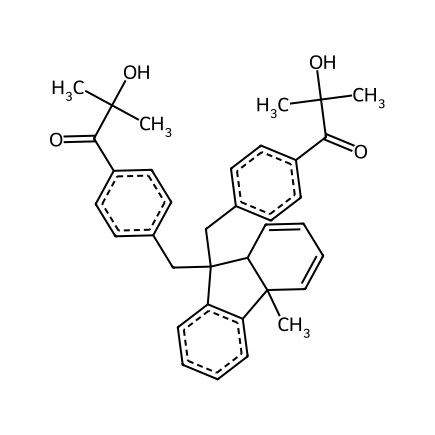 CC(C)(O)C(=O)c1ccc(CC2(Cc3ccc(C(=O)C(C)(C)O)cc3)c3ccccc3C3(C)C=CC=CC32)cc1